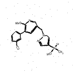 COc1ncc(Cn2cc([N+](C)([O-])O)cn2)cc1-c1cccc(Cl)c1